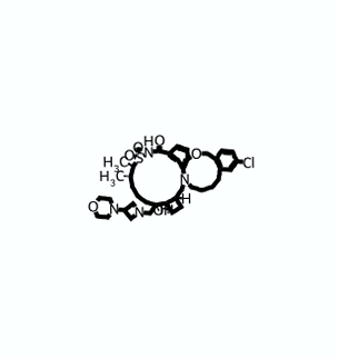 C[C@@H]1[C@@H](C)CCC[C@](O)(CN2CC(N3CCOCC3)C2)[C@@H]2CC[C@H]2CN2CCCCc3cc(Cl)ccc3COc3ccc(cc32)C(=O)NS1(=O)=O